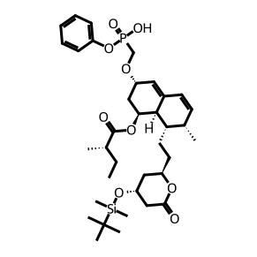 CC[C@H](C)C(=O)O[C@H]1C[C@H](OCP(=O)(O)Oc2ccccc2)C=C2C=C[C@H](C)[C@H](CC[C@@H]3C[C@@H](O[Si](C)(C)C(C)(C)C)CC(=O)O3)[C@H]21